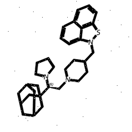 c1cc2c3c(cccc3c1)N(CC1CCN(C[C@H](N3CCCC3)C34CC5CC(CC(C5)C3)C4)CC1)S2